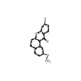 COc1ccc2ccc3oc4cc(F)ccc4c(=O)c3c2c1